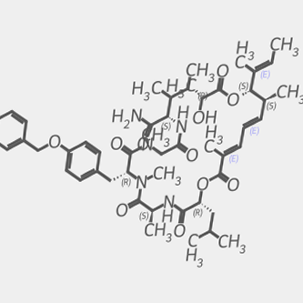 C/C=C(\C)[C@@H](OC(=O)[C@@H](C)O)[C@@H](C)/C=C/C=C(\C)C(=O)O[C@H](CC(C)C)C(=O)N[C@@H](C)C(=O)N(C)[C@H](Cc1ccc(OCc2ccccc2)cc1)C(=O)N(C)CC(=O)N[C@H](C(N)=O)C(C)CC